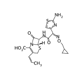 C/C=C\C1=C(C(=O)O)N2C(=O)C(NC(=O)/C(=N\OCC3CC3)c3csc(N)n3)[C@@H]2SC1